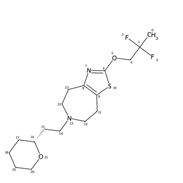 CC(F)(F)COc1nc2c(s1)CCN(CC[C@H]1CCCCO1)CC2